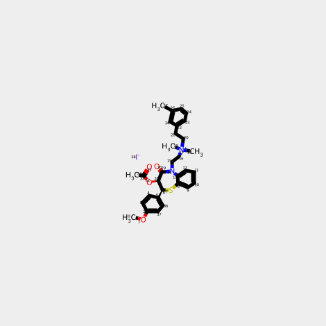 COc1ccc([C@@H]2Sc3ccccc3N(CC[N+](C)(C)CCc3cccc(C)c3)C(=O)[C@@H]2OC(C)=O)cc1.[I-]